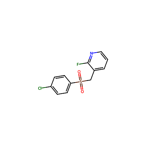 O=S(=O)(Cc1cccnc1F)c1ccc(Cl)cc1